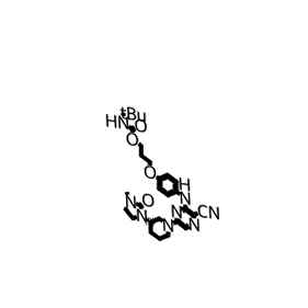 CN1CCN([C@@H]2CCCN(c3cnc(C#N)c(Nc4ccc(OCCCOC(=O)NC(C)(C)C)cc4)n3)C2)C1=O